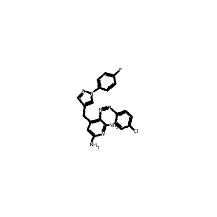 Nc1cc(Cc2cnn(-c3ccc(F)cc3)c2)c(N=Nc2ccc(Cl)cc2)c(N)n1